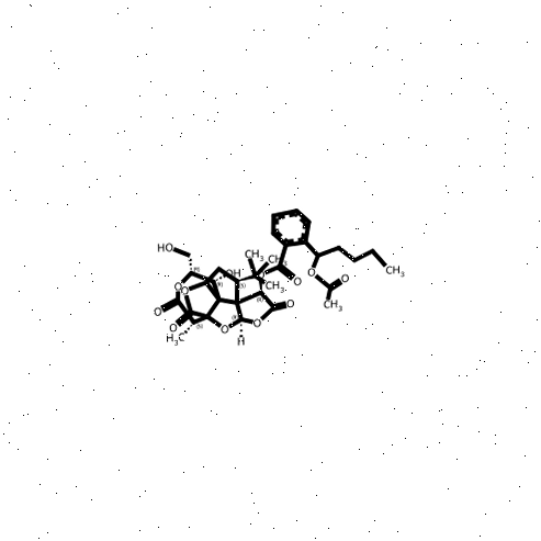 CCCCC(OC(C)=O)c1ccccc1C(=O)O[C@H]1C(=O)O[C@H]2OC34C(=O)OC5C[C@@H](C(C)(C)C)C21C53[C@@H](O)[C@@H](CO)OC(=O)[C@H]4C